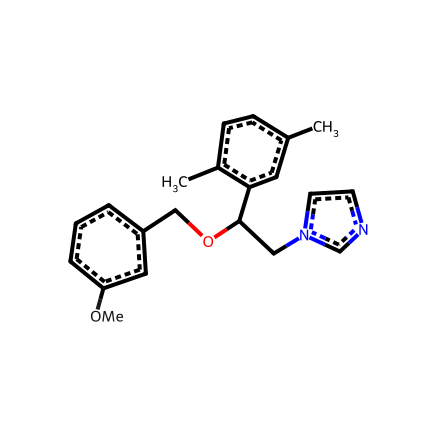 COc1cccc(COC(Cn2ccnc2)c2cc(C)ccc2C)c1